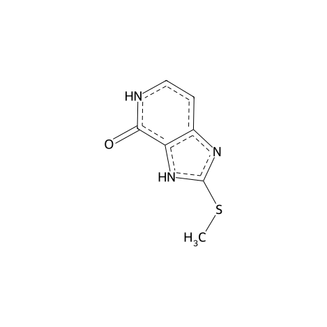 CSc1nc2cc[nH]c(=O)c2[nH]1